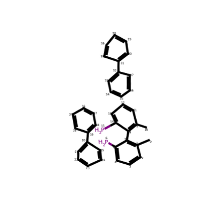 Cc1cccc(P)c1-c1c(C)cccc1P.c1ccc(-c2ccccc2)cc1.c1ccc(-c2ccccc2)cc1